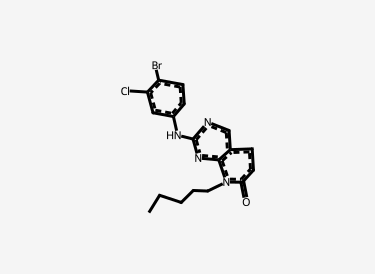 CCCCCn1c(=O)ccc2cnc(Nc3ccc(Br)c(Cl)c3)nc21